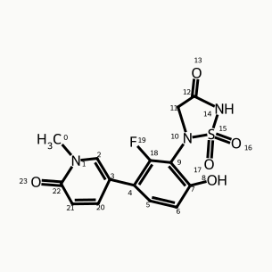 Cn1cc(-c2ccc(O)c(N3CC(=O)NS3(=O)=O)c2F)ccc1=O